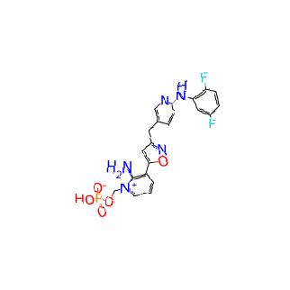 Nc1c(-c2cc(Cc3ccc(Nc4cc(F)ccc4F)nc3)no2)ccc[n+]1COP(=O)([O-])O